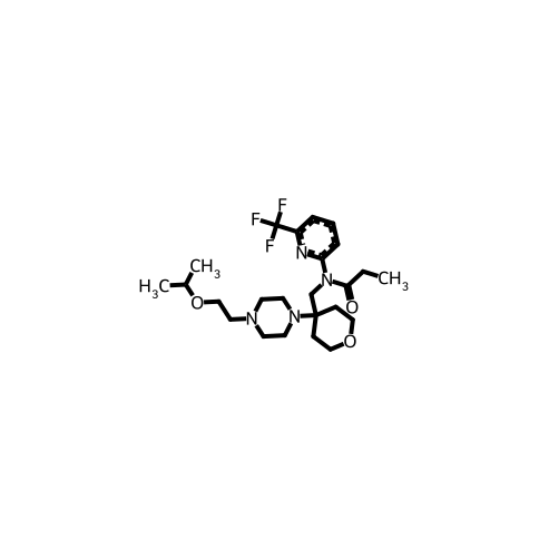 CCC(=O)N(CC1(N2CCN(CCOC(C)C)CC2)CCOCC1)c1cccc(C(F)(F)F)n1